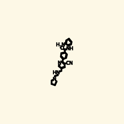 N#Cc1cc(CNCCN2CCCC2)cnc1-c1ccc(C(=O)Nc2ccccc2N)cc1